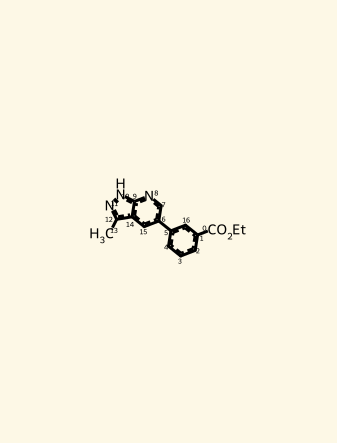 CCOC(=O)c1cccc(-c2cnc3[nH]nc(C)c3c2)c1